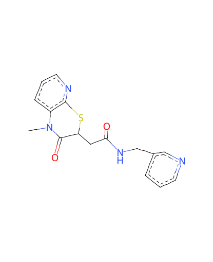 CN1C(=O)C(CC(=O)NCc2cccnc2)Sc2ncccc21